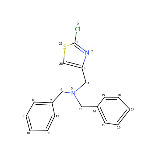 Clc1nc(CN(Cc2ccccc2)Cc2ccccc2)cs1